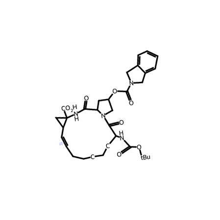 CC(C)(C)OC(=O)NC1CCCCC/C=C\C2CC2(C(=O)O)NC(=O)C2CC(OC(=O)N3Cc4ccccc4C3)CN2C1=O